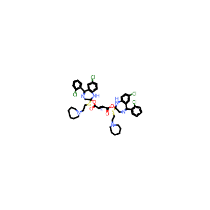 O=C(/C=C/C(=O)OC1(SCCN2CCCCCC2)CN=C(c2ccccc2Cl)c2cc(Cl)ccc2N1)OC1(SCCN2CCCCCC2)CN=C(c2ccccc2Cl)c2cc(Cl)ccc2N1